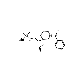 C=CC[C@]1(CCO[Si](C)(C)C(C)(C)C)CCCN(C(=O)c2ccccc2)C1